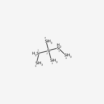 [SiH3][SiH2][Si]([SiH3])([SiH3])[SiH2][SiH3]